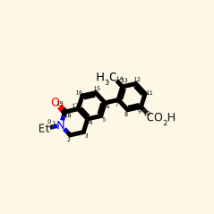 CCN1CCc2cc(-c3cc(C(=O)O)ccc3C)ccc2C1=O